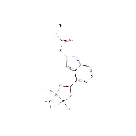 COC(=O)Cn1cc2c(B3OC(C)(C)C(C)(C)O3)cccc2n1